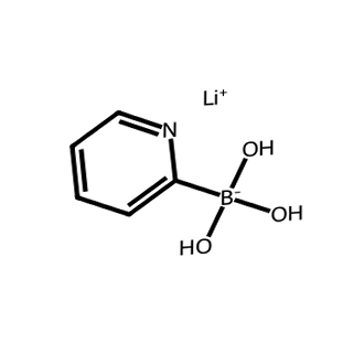 O[B-](O)(O)c1ccccn1.[Li+]